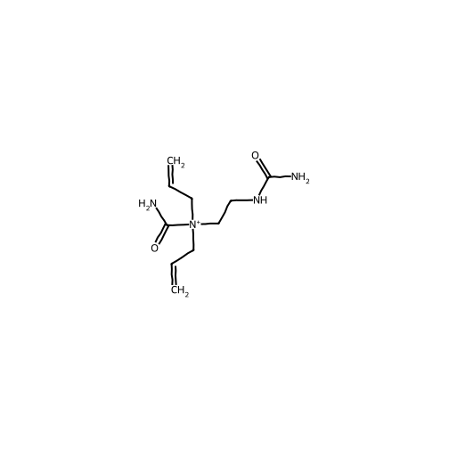 C=CC[N+](CC=C)(CCNC(N)=O)C(N)=O